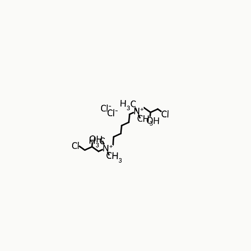 C[N+](C)(CCCCCC[N+](C)(C)CC(O)CCl)CC(O)CCl.[Cl-].[Cl-]